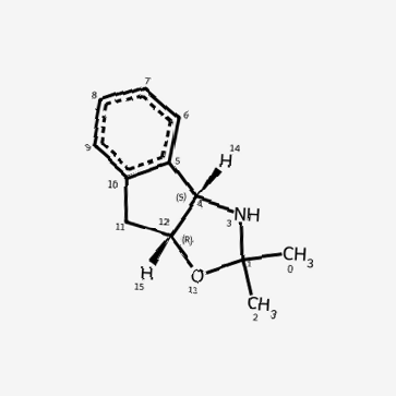 CC1(C)N[C@H]2c3ccccc3C[C@H]2O1